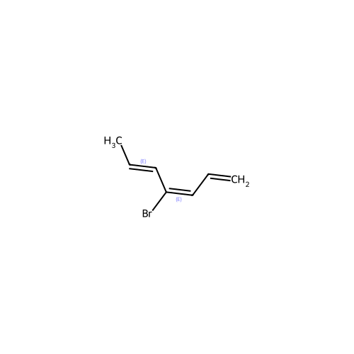 C=C/C=C(Br)\C=C\C